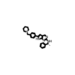 C[C@@H](Nc1ncc2cc(-c3ccc(CN4CCCCC4)cc3)[nH]c2n1)c1ccccc1